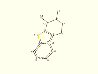 CC1CCc2c(sc3ccccc23)C1C